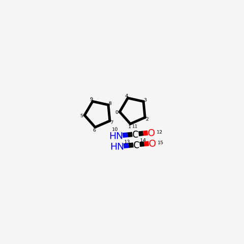 C1CCCC1.C1CCCC1.N=C=O.N=C=O